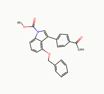 COC(=O)c1ccc(-c2cn(C(=O)OC(C)(C)C)c3cccc(OCc4ccccc4)c23)cc1